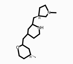 C[C@@H]1CCOC(CC2CCNC(C[C@H]3CCN(C)C3)C2)C1